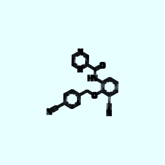 N#Cc1ccc(COc2c(C#N)cccc2NC(=O)c2cnccn2)cc1